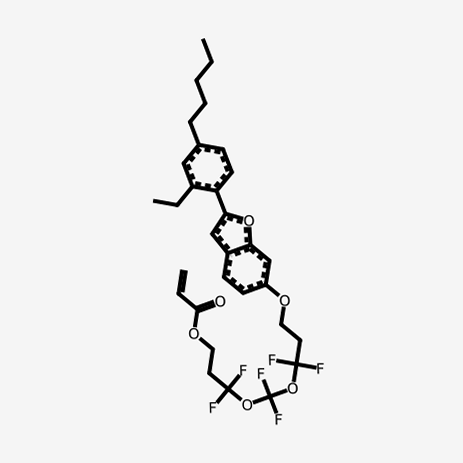 C=CC(=O)OCCC(F)(F)OC(F)(F)OC(F)(F)CCOc1ccc2cc(-c3ccc(CCCCC)cc3CC)oc2c1